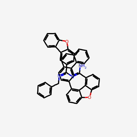 N/C(=N\C(=N/Cc1ccccc1)c1ccc2oc3ccccc3c2c1)c1cccc2oc3cccc(-c4ccc5ccc6ccccc6c5c4)c3c12